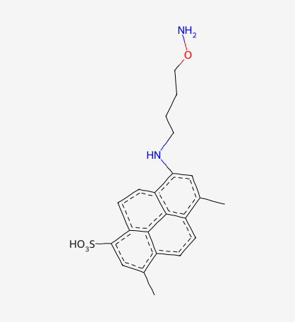 Cc1cc(NCCCCON)c2ccc3c(S(=O)(=O)O)cc(C)c4ccc1c2c43